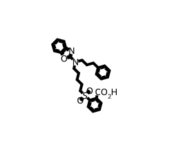 O=C(O)c1ccccc1S(=O)(=O)CCCCCN(CCCc1ccccc1)c1nc2ccccc2o1